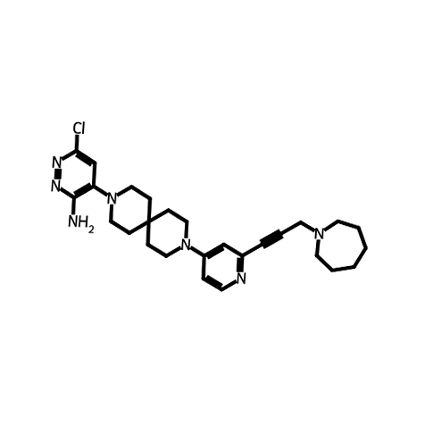 Nc1nnc(Cl)cc1N1CCC2(CCN(c3ccnc(C#CCN4CCCCCC4)c3)CC2)CC1